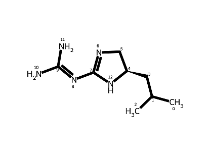 CC(C)C[C@@H]1CN=C(N=C(N)N)N1